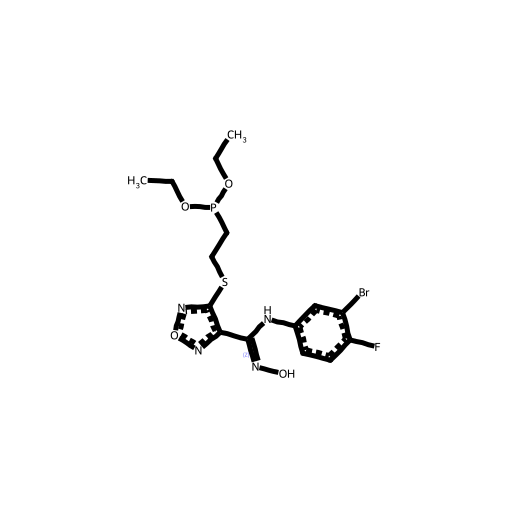 CCOP(CCSc1nonc1/C(=N/O)Nc1ccc(F)c(Br)c1)OCC